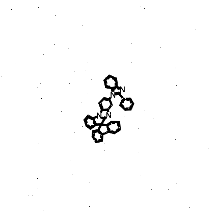 C1=C2C(CC(n3c(-c4ccccc4)nc4ccccc43)=C1)N=C1N2c2ccccc2C12c1ccccc1-c1ccccc12